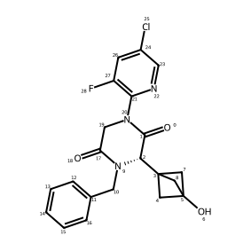 O=C1[C@H](C23CC(O)(C2)C3)N(Cc2ccccc2)C(=O)CN1c1ncc(Cl)cc1F